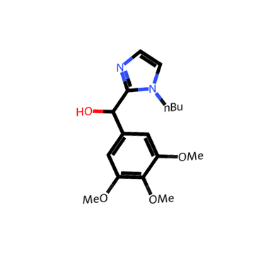 CCCCn1ccnc1C(O)c1cc(OC)c(OC)c(OC)c1